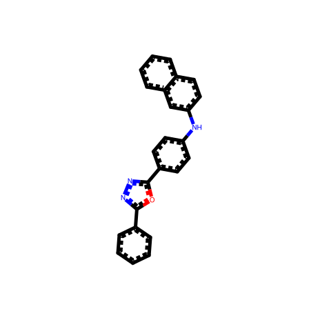 c1ccc(-c2nnc(-c3ccc(Nc4ccc5ccccc5c4)cc3)o2)cc1